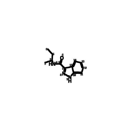 CCC(C)NC(=O)c1n[nH]c2ccccc12